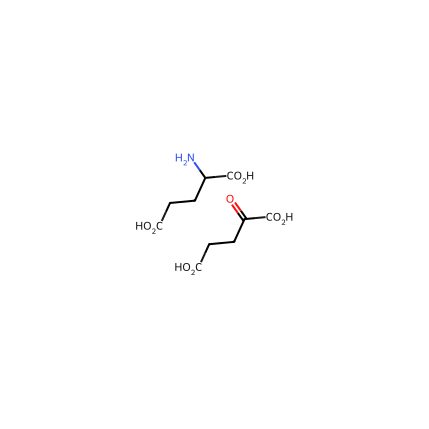 NC(CCC(=O)O)C(=O)O.O=C(O)CCC(=O)C(=O)O